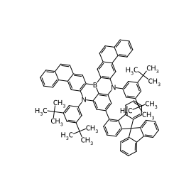 CC(C)(C)c1cc(N2c3cc4c(ccc5ccccc54)cc3B3c4cc5ccc6ccccc6c5cc4N(c4cc(C(C)(C)C)cc(C(C)(C)C)c4)c4cc(-c5cccc6c5-c5ccccc5C65c6ccccc6-c6ccccc65)cc2c43)cc(C(C)(C)C)c1